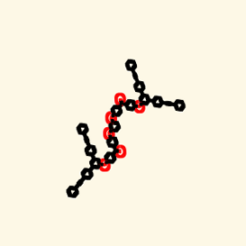 O=C(c1ccc(Oc2cccc(Oc3ccc(C(=O)c4ccc(Oc5cc(-c6ccc(C#Cc7ccccc7)cc6)cc(-c6ccc(C#Cc7ccccc7)cc6)c5)cc4)cc3)c2)cc1)c1ccc(Oc2cc(-c3ccc(C#Cc4ccccc4)cc3)cc(-c3ccc(C#Cc4ccccc4)cc3)c2)cc1